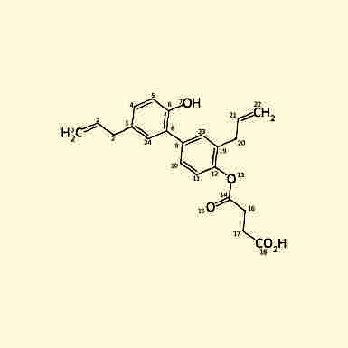 C=CCc1ccc(O)c(-c2ccc(OC(=O)CCC(=O)O)c(CC=C)c2)c1